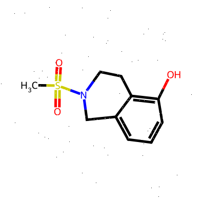 CS(=O)(=O)N1CCc2c(O)cccc2C1